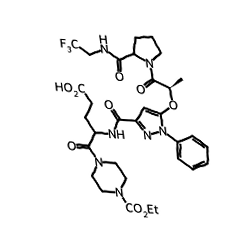 CCOC(=O)N1CCN(C(=O)C(CCC(=O)O)NC(=O)c2cc(O[C@H](C)C(=O)N3CCCC3C(=O)NCC(F)(F)F)n(-c3ccccc3)n2)CC1